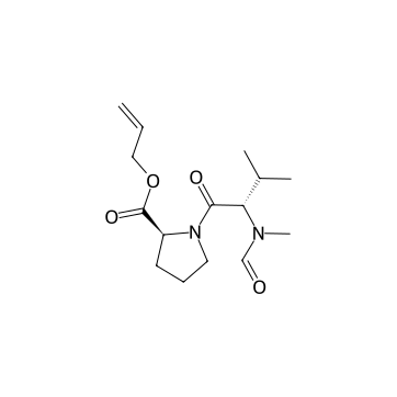 C=CCOC(=O)[C@@H]1CCCN1C(=O)[C@H](C(C)C)N(C)C=O